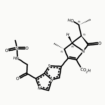 C[C@@H](O)[C@H]1C(=O)N2C(C(=O)O)=C(c3cn4cnc(C(=O)CNS(C)(=O)=O)c4s3)[C@H](C)[C@H]12